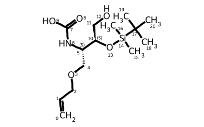 C=CCOC[C@H](NC(=O)O)[C@@H](CO)O[Si](C)(C)C(C)(C)C